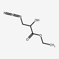 CCOC(=O)C(O)CN=[N+]=[N-]